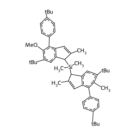 COc1c(C(C)(C)C)cc2c(c1-c1ccc(C(C)(C)C)cc1)C=C(C)C2[Si](C)(C)C1C(C)=Cc2c1cc(C(C)(C)C)c(C)c2-c1ccc(C(C)(C)C)cc1